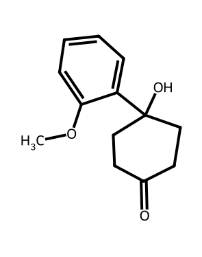 COc1ccccc1C1(O)CCC(=O)CC1